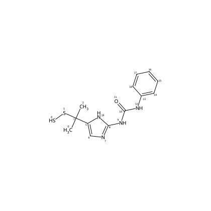 CC(C)(SS)c1cnc(NC(=O)Nc2ccccc2)[nH]1